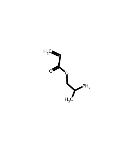 C=CC(=O)OCC(C)P